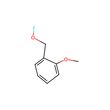 COc1ccccc1COF